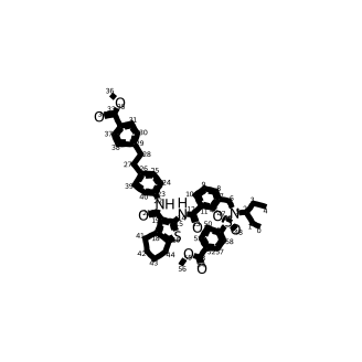 CCC(CC)N(Cc1cccc(C(=O)Nc2sc3c(c2C(=O)Nc2ccc(CCc4ccc(C(=O)OC)cc4)cc2)CCCC3)c1)S(=O)(=O)c1ccc(C(=O)OC)cc1